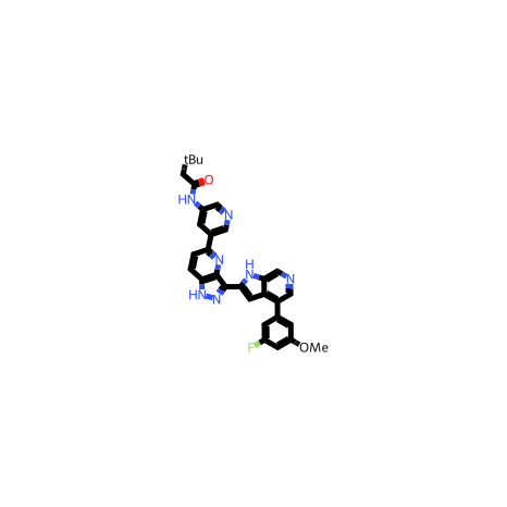 COc1cc(F)cc(-c2cncc3[nH]c(-c4n[nH]c5ccc(-c6cncc(NC(=O)CC(C)(C)C)c6)nc45)cc23)c1